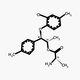 Cc1ccc([C@@H](Oc2ccc(C)cc2Cl)[C@H](C)OC(=O)[C@H](C)N)cc1